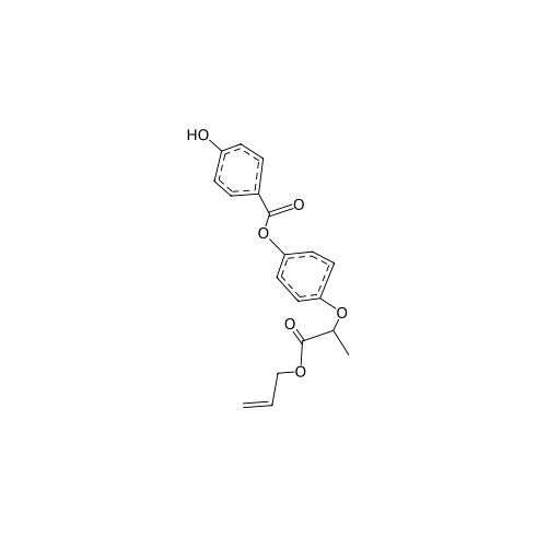 C=CCOC(=O)C(C)Oc1ccc(OC(=O)c2ccc(O)cc2)cc1